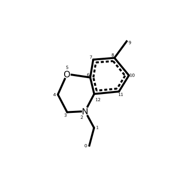 CCN1CCOc2cc(C)ccc21